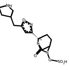 O=C1N(OS(=O)(=O)O)C2CC[C@@H](c3cc(CC4CCNC4)on3)N1C2